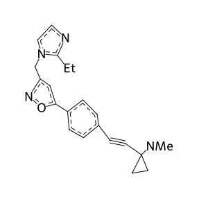 CCc1nccn1Cc1cc(-c2ccc(C#CC3(NC)CC3)cc2)on1